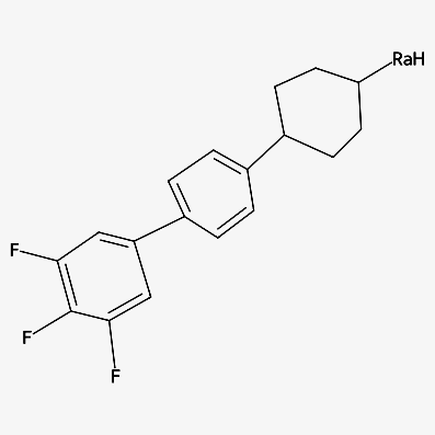 Fc1cc(-c2ccc(C3CC[CH]([RaH])CC3)cc2)cc(F)c1F